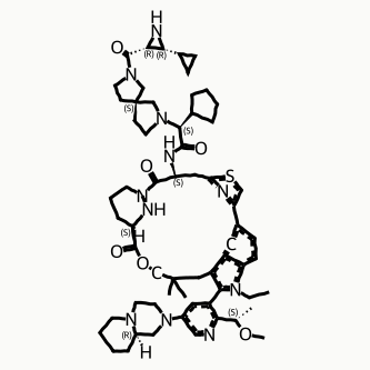 CCn1c(-c2cc(N3CCN4CCCC[C@@H]4C3)cnc2[C@H](C)OC)c2c3cc(ccc31)-c1csc(n1)C[C@H](NC(=O)[C@H](C1CCCC1)N1CC[C@]3(CCN(C(=O)[C@@H]4N[C@@H]4C4CC4)C3)C1)C(=O)N1CCC[C@H](N1)C(=O)OCC(C)(C)C2